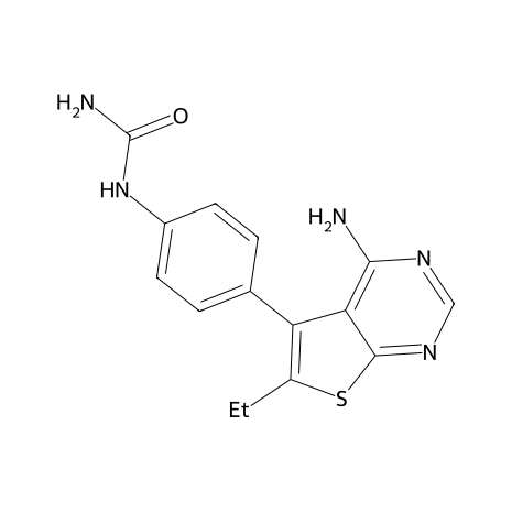 CCc1sc2ncnc(N)c2c1-c1ccc(NC(N)=O)cc1